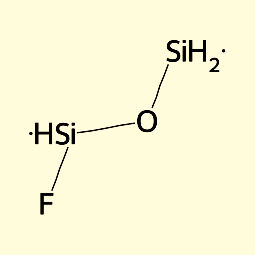 F[SiH]O[SiH2]